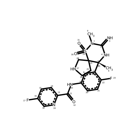 CN1C(=N)N[C@](C)(c2cc(NC(=O)c3ccc(F)cn3)ccc2F)C2(CCNC2)S1(=O)=O